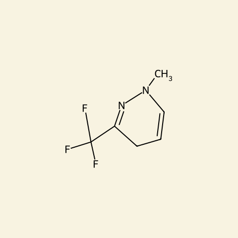 CN1C=CCC(C(F)(F)F)=N1